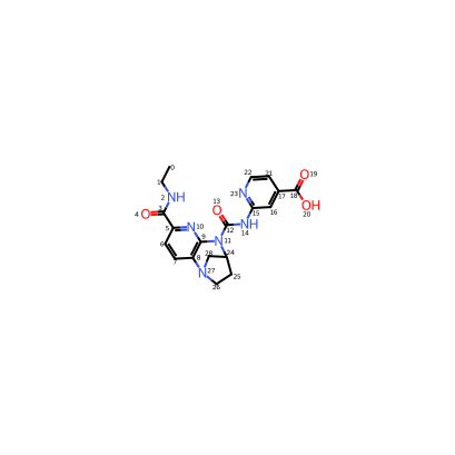 CCNC(=O)c1ccc2c(n1)N(C(=O)Nc1cc(C(=O)O)ccn1)C1CCN2C1